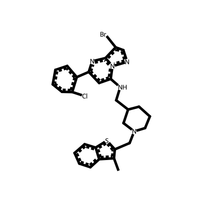 Cc1c(CN2CCCC(CNc3cc(-c4ccccc4Cl)nc4c(Br)cnn34)C2)sc2ccccc12